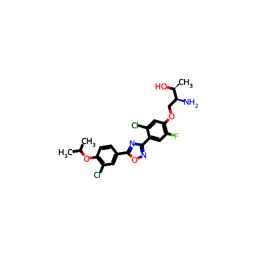 CC(C)Oc1ccc(-c2nc(-c3cc(F)c(OC[C@H](N)[C@@H](C)O)cc3Cl)no2)cc1Cl